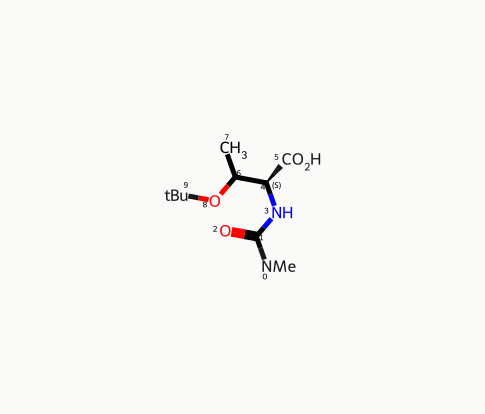 CNC(=O)N[C@H](C(=O)O)C(C)OC(C)(C)C